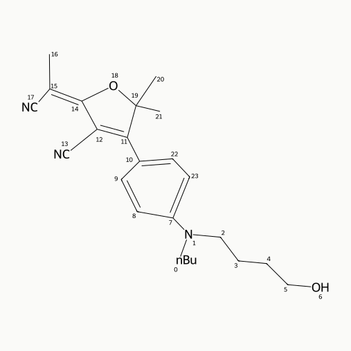 CCCCN(CCCCO)c1ccc(C2=C(C#N)/C(=C(/C)C#N)OC2(C)C)cc1